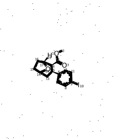 COC(=O)[C@H]1[C@@H](c2ccc(I)cc2)CC2CC[C@H]1O2